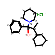 CC(C1CCCCC1)C(O)(c1ccccc1)N1CCCCC1.Cl